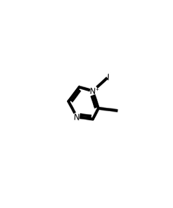 Cc1cncc[n+]1I